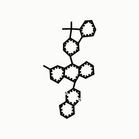 Cc1ccc2c(-c3cnc4ccccc4n3)c3ccccc3c(-c3ccc4c(c3)-c3ccccc3C4(C)C)c2c1